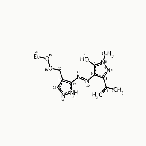 C=C(C)c1nn(C)c(O)c1/N=N/c1[nH]ncc1COOCC